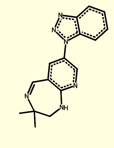 CC1(C)CNc2ncc(-n3nnc4ccccc43)cc2C=N1